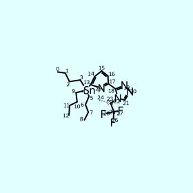 CCC[CH2][Sn]([CH2]CCC)([CH2]CCC)[c]1cccc(-c2nncn2[C@@H](C)C(F)(F)F)n1